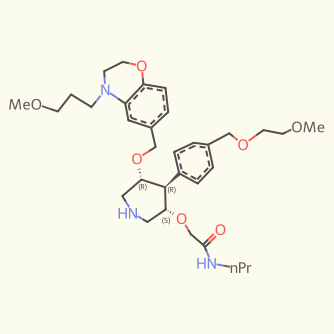 CCCNC(=O)CO[C@@H]1CNC[C@H](OCc2ccc3c(c2)N(CCCOC)CCO3)[C@H]1c1ccc(COCCOC)cc1